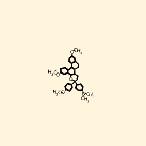 COc1ccc(C2(c3ccc(N(C)C)cc3)C=Cc3c4c(c5ccc(OC)cc5c3O2)-c2ccc(OC)cc2CC4)cc1